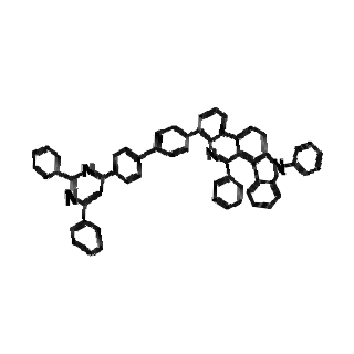 c1ccc(-c2cc(-c3ccc(-c4ccc(-c5cccc6c5nc(-c5ccccc5)c5c6ccc6c5c5ccccc5n6-c5ccccc5)cc4)cc3)nc(-c3ccccc3)n2)cc1